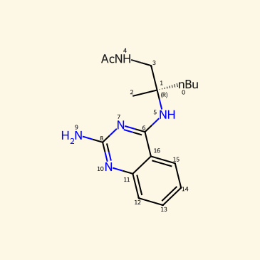 CCCC[C@](C)(CNC(C)=O)Nc1nc(N)nc2ccccc12